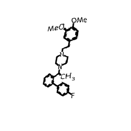 COc1ccc(CCN2CCN(C(C)c3ccccc3-c3ccc(F)cc3)CC2)cc1OC